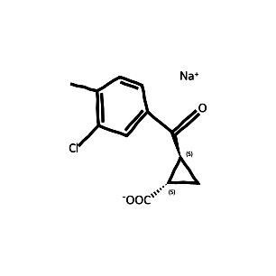 Cc1ccc(C(=O)[C@H]2C[C@@H]2C(=O)[O-])cc1Cl.[Na+]